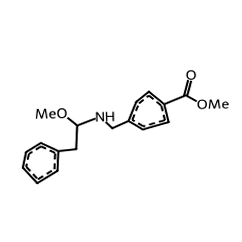 COC(=O)c1ccc(CNC(Cc2ccccc2)OC)cc1